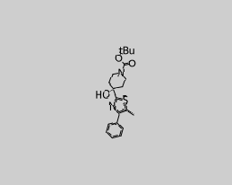 Cc1sc(C2(O)CCN(C(=O)OC(C)(C)C)CC2)nc1-c1ccccc1